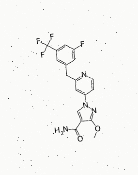 COc1nn(-c2ccnc(Cc3cc(F)cc(C(F)(F)F)c3)c2)cc1C(N)=O